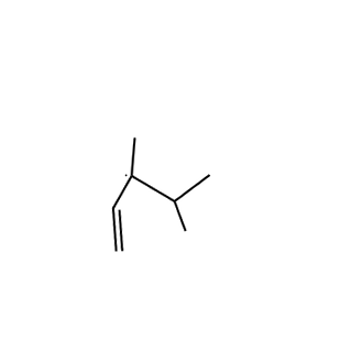 C=C[C](C)C(C)C